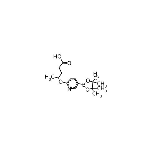 CC(CCC(=O)O)Oc1ccc(B2OC(C)(C)C(C)(C)O2)cn1